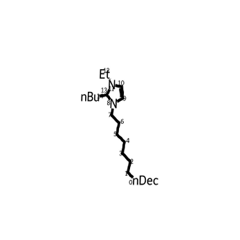 CCCCCCCCCCCCCCCCCN1C=CN(CC)C1CCCC